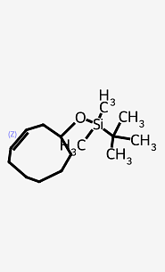 CC(C)(C)[Si](C)(C)OC1C/C=C\CCCCC1